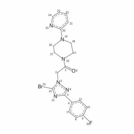 O=C(Cn1nc(-c2ccc(F)cc2)nc1Br)N1CCN(c2ccccn2)CC1